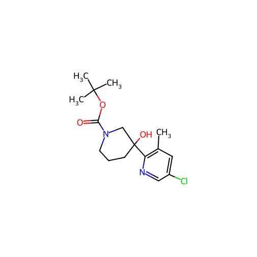 Cc1cc(Cl)cnc1C1(O)CCCN(C(=O)OC(C)(C)C)C1